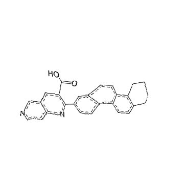 O=C(O)c1cc2cnccc2nc1-c1ccc2c(ccc3c4c(ccc32)CCCC4)c1